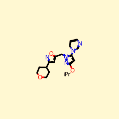 CC(C)Oc1cc(N2C=NC=CC2)n(Cc2cc(C3CCOCC3)no2)n1